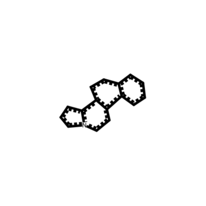 c1ccc2c(c1)ccc1c2ccn2cccc12